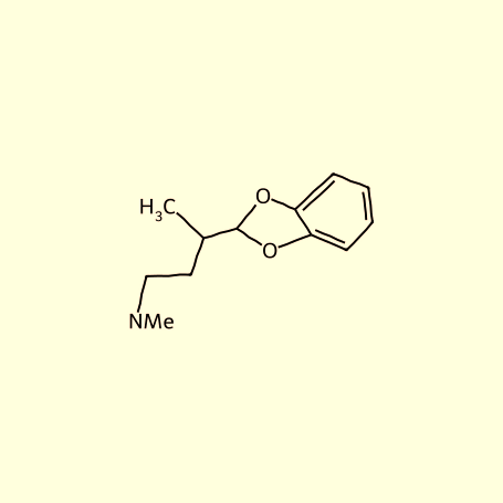 CNCCC(C)C1Oc2ccccc2O1